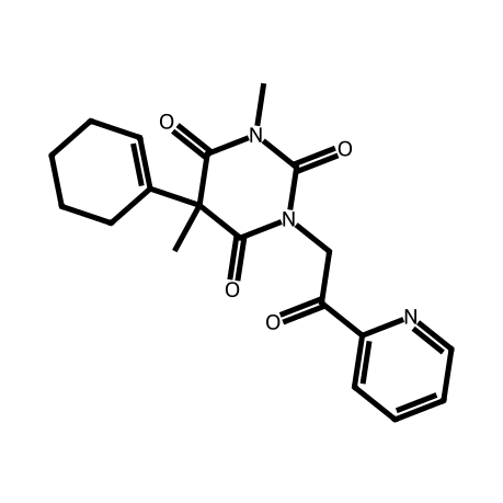 CN1C(=O)N(CC(=O)c2ccccn2)C(=O)C(C)(C2=CCCCC2)C1=O